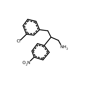 NCC(Cc1cccc(Cl)c1)c1ccc([N+](=O)[O-])cc1